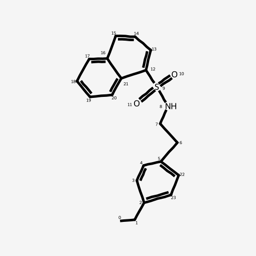 CCc1ccc(CCNS(=O)(=O)c2cccc3ccccc23)cc1